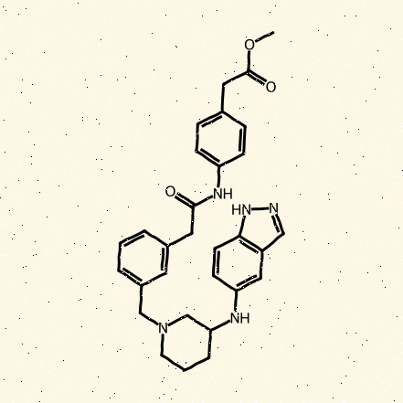 COC(=O)Cc1ccc(NC(=O)Cc2cccc(CN3CCCC(Nc4ccc5[nH]ncc5c4)C3)c2)cc1